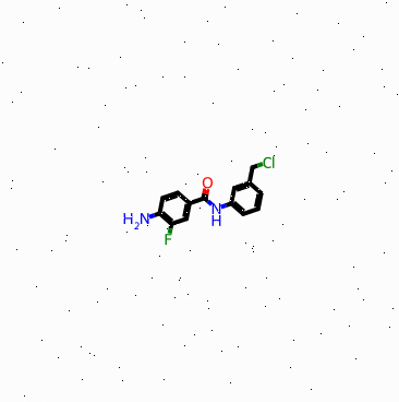 Nc1ccc(C(=O)Nc2cccc(CCl)c2)cc1F